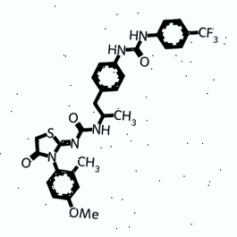 COc1ccc(N2C(=O)CSC2=NC(=O)NC(C)Cc2ccc(NC(=O)Nc3ccc(C(F)(F)F)cc3)cc2)c(C)c1